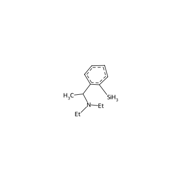 CCN(CC)C(C)c1ccccc1[SiH3]